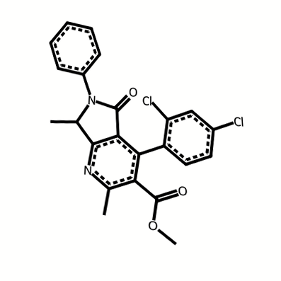 COC(=O)c1c(C)nc2c(c1-c1ccc(Cl)cc1Cl)C(=O)N(c1ccccc1)C2C